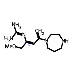 C=C(/C=C(/COC)N=C(N)N)N1CCCNCC1